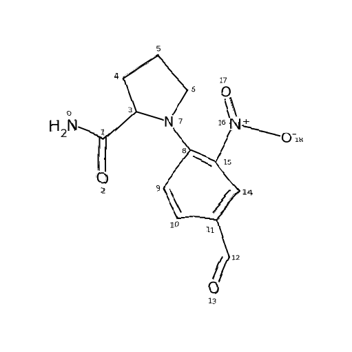 NC(=O)C1CCCN1c1ccc(C=O)cc1[N+](=O)[O-]